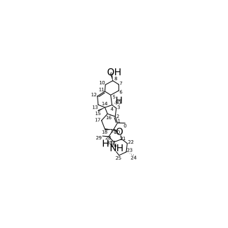 CC1=C2C[C@@H]3C4CC[C@H](O)CC4=CC[C@@]3(C)C2CC[C@]12OC1C[C@H](C)CN[C@H]1C2C